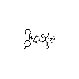 C=C/C=C\C(=C/C)N(C1=CC=C(C=C2C(=O)N(C)C(=S)N(C)C2=O)[Si]1(C)C)c1ccccc1